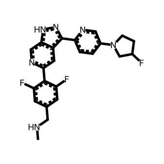 CNCc1cc(F)c(-c2cc3c(-c4ccc(N5CCC(F)C5)cn4)n[nH]c3cn2)c(F)c1